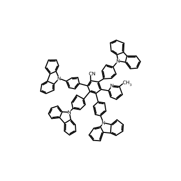 Cc1cccc(-c2c(-c3ccc(-n4c5ccccc5c5ccccc54)cc3)c(C#N)c(-c3ccc(-n4c5ccccc5c5ccccc54)cc3)c(-c3ccc(-n4c5ccccc5c5ccccc54)cc3)c2-c2ccc(-n3c4ccccc4c4ccccc43)cc2)n1